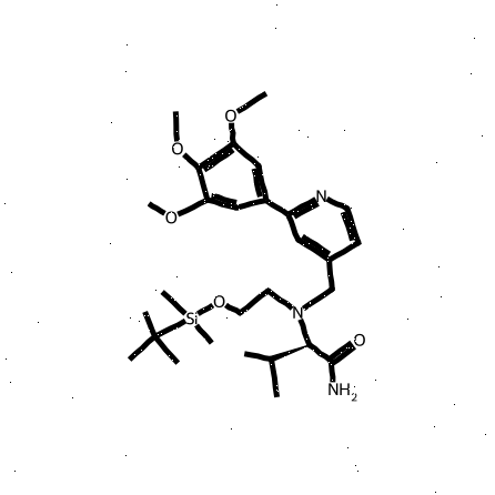 COc1cc(-c2cc(CN(CCO[Si](C)(C)C(C)(C)C)[C@@H](C(N)=O)C(C)C)ccn2)cc(OC)c1OC